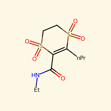 CCCC1=C(C(=O)NCC)S(=O)(=O)CCS1(=O)=O